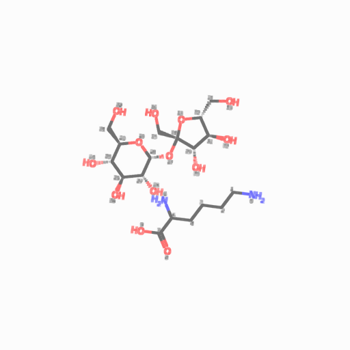 NCCCCC(N)C(=O)O.OC[C@H]1O[C@@](CO)(O[C@H]2O[C@H](CO)[C@@H](O)[C@H](O)[C@H]2O)[C@@H](O)[C@@H]1O